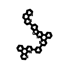 c1cc(-c2ccc3c4ccccc4c4cccnc4c3n2)cc(-c2ccc3c4ccccc4c4cc5c(nc4c3n2)oc2cc(-c3ccc4ccc6cccnc6c4n3)ccc25)c1